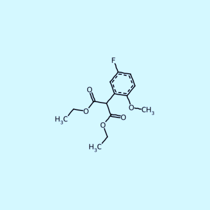 CCOC(=O)C(C(=O)OCC)c1cc(F)ccc1OC